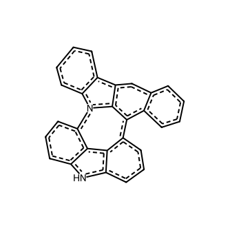 c1ccc2c(c1)cc1c3ccccc3n3c4cccc5[nH]c6cccc(c6c54)c2c13